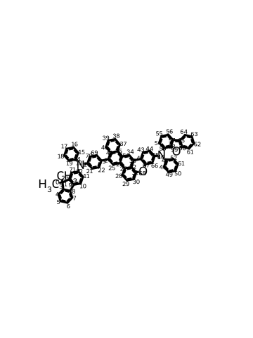 CC1(C)c2ccccc2-c2ccc(N(c3ccccc3)c3ccc(-c4cc5c6cccc7c6c(cc5c5ccccc45)-c4ccc(N(c5ccccc5)c5cccc6c5oc5ccccc56)cc4O7)cc3)cc21